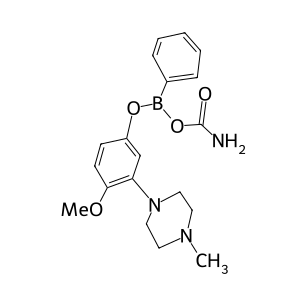 COc1ccc(OB(OC(N)=O)c2ccccc2)cc1N1CCN(C)CC1